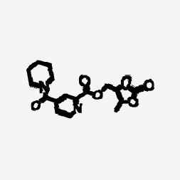 Cc1oc(=O)oc1COC(=O)c1cc(C(=O)N2CCCCC2)ccn1